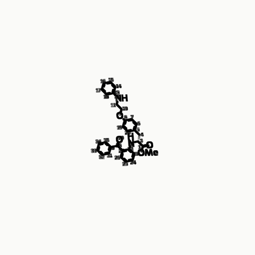 COC(=O)[C@@H](Cc1ccc(OCCNc2ccccc2)cc1)Nc1ccccc1C(=O)c1ccccc1